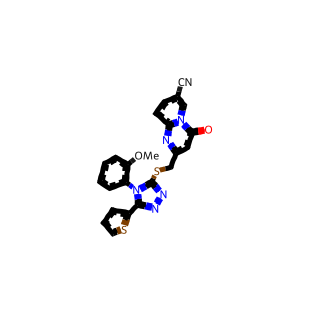 COc1ccccc1-n1c(SCc2cc(=O)n3cc(C#N)ccc3n2)nnc1-c1cccs1